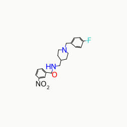 O=C(NCC1CCN(Cc2ccc(F)cc2)CC1)c1cccc([N+](=O)[O-])c1